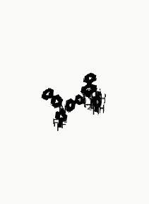 [2H]c1c([2H])c([2H])c(N(c2ccc(-c3ccccc3)cc2)c2ccc(-c3ccc(N(c4ccc(-c5ccccc5)cc4)c4ccc(C(F)(F)F)cc4)cc3)cc2)c([2H])c1[2H]